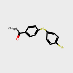 CCCCCCCC(=O)c1ccc(Sc2ccc(S)cc2)cc1